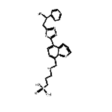 CCCC(Cc1nnc(-c2ccc(CNCCCP(=O)(O)O)c3ncccc23)o1)c1ccccc1